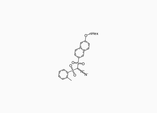 CCCCCCOc1ccc2cc(S(=O)(=O)C(=[N+]=[N-])S(=O)(=O)c3ccccc3C)ccc2c1